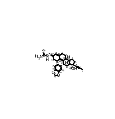 CC#C[C@]1(O)CC[C@H]2[C@@H]3CCC4=C/C(=N/NC(N)=S)CCC4=C3[C@@H](c3ccc4c(c3)OCO4)C[C@@]21C